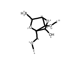 BC1OC2(COI)C(O)OC1C2OI